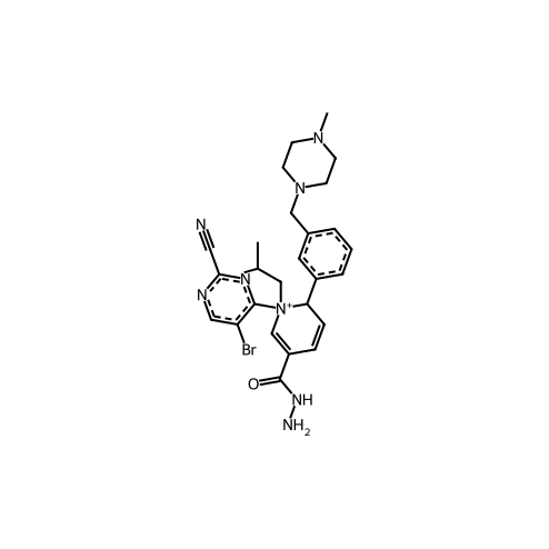 CC(C)C[N+]1(c2nc(C#N)ncc2Br)C=C(C(=O)NN)C=CC1c1cccc(CN2CCN(C)CC2)c1